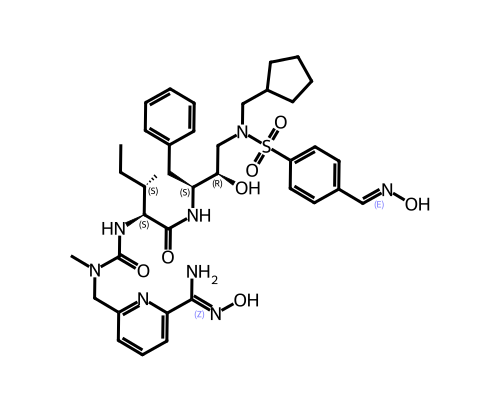 CC[C@H](C)[C@H](NC(=O)N(C)Cc1cccc(/C(N)=N/O)n1)C(=O)N[C@@H](Cc1ccccc1)[C@H](O)CN(CC1CCCC1)S(=O)(=O)c1ccc(/C=N/O)cc1